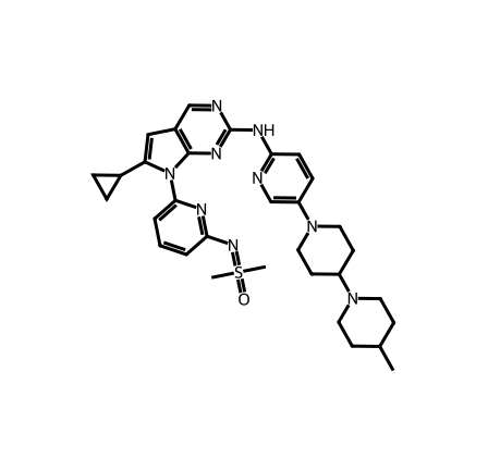 CC1CCN(C2CCN(c3ccc(Nc4ncc5cc(C6CC6)n(-c6cccc(N=S(C)(C)=O)n6)c5n4)nc3)CC2)CC1